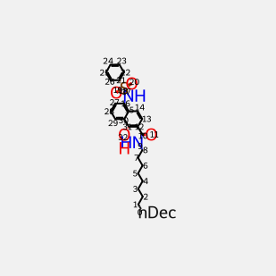 CCCCCCCCCCCCCCCCCCNC(=O)c1ccc2c(NS(=O)(=O)c3ccccc3)cccc2c1O